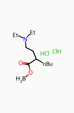 BOC(=O)C(CCCC)CCN(CC)CC.Cl.Cl